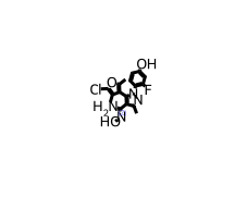 Cc1nn(-c2ccc(O)cc2F)c(-c2c(C)oc(Cl)c2C)c1/C(N)=N/O